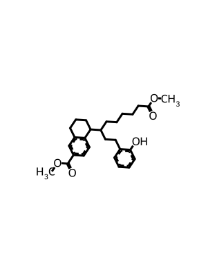 COC(=O)CCCCCC(CCc1ccccc1O)C1CCCc2cc(C(=O)OC)ccc21